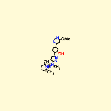 COc1cc(-c2ccc(-c3ccc(N(C)C4C[C@]5(C)CCC[C@](C)(C4)N5)nn3)c(O)c2)ncn1